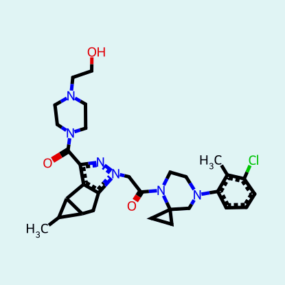 Cc1c(Cl)cccc1N1CCN(C(=O)Cn2nc(C(=O)N3CCN(CCO)CC3)c3c2CC2C(C)C32)C2(CC2)C1